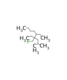 CCCCC(CC)C(CC)(CF)CC(C)C